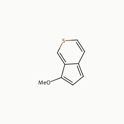 COc1c[c]c2ccscc1-2